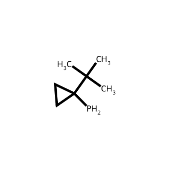 CC(C)(C)C1(P)CC1